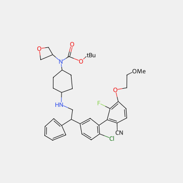 COCCOc1ccc(C#N)c(-c2cc(C(CNC3CCC(N(C(=O)OC(C)(C)C)C4COC4)CC3)c3ccccc3)ccc2Cl)c1F